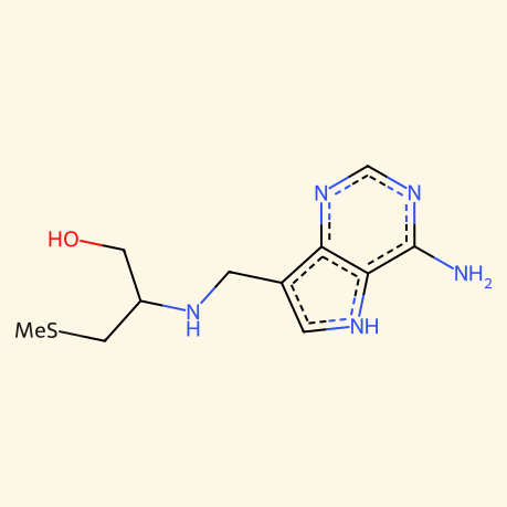 CSCC(CO)NCc1c[nH]c2c(N)ncnc12